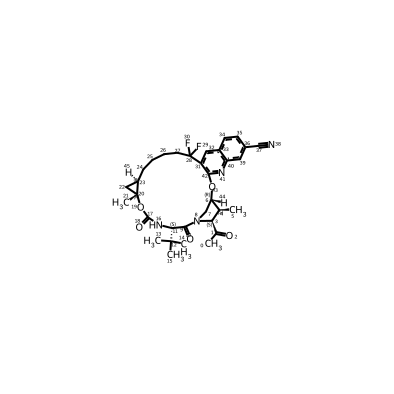 CC(=O)[C@@H]1[C@H](C)[C@@H]2CN1C(=O)[C@H](C(C)(C)C)NC(=O)O[C@]1(C)C[C@H]1CCCCC(F)(F)c1cc3ccc(C#N)cc3nc1O2